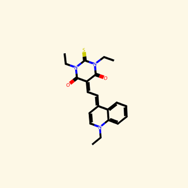 CCN1C(=O)C(=C/C=C2\C=CN(CC)c3ccccc32)C(=O)N(CC)C1=S